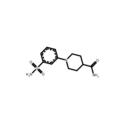 NC(=O)C1CCN(c2cccc(S(N)(=O)=O)c2)CC1